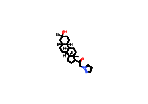 CC[C@@]1(O)CC[C@H]2[C@H](CC[C@@H]3[C@@H]2CC[C@]2(C)[C@@H](C(=O)Cn4cccn4)CC[C@@H]32)C1